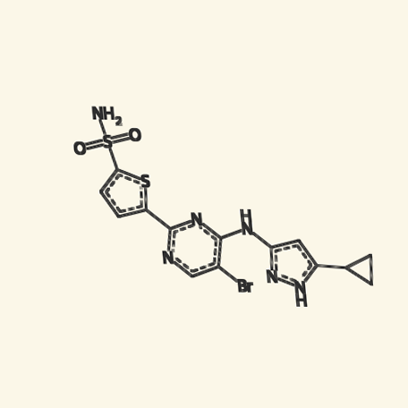 NS(=O)(=O)c1ccc(-c2ncc(Br)c(Nc3cc(C4CC4)[nH]n3)n2)s1